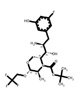 C[C@H]1[C@H](OCC(F)(F)F)OC[C@H]([C@@H](O)[C@@H](N)Cc2cc(O)cc(F)c2)N1C(=O)OC(C)(C)C